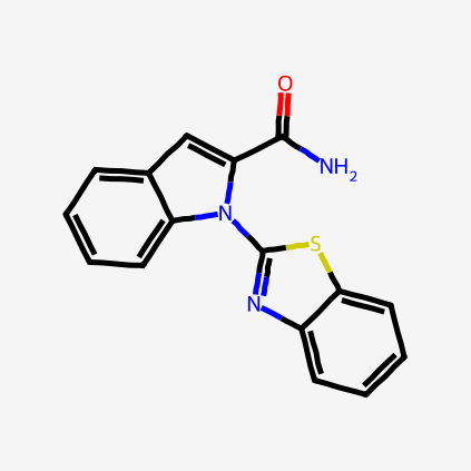 NC(=O)c1cc2ccccc2n1-c1nc2ccccc2s1